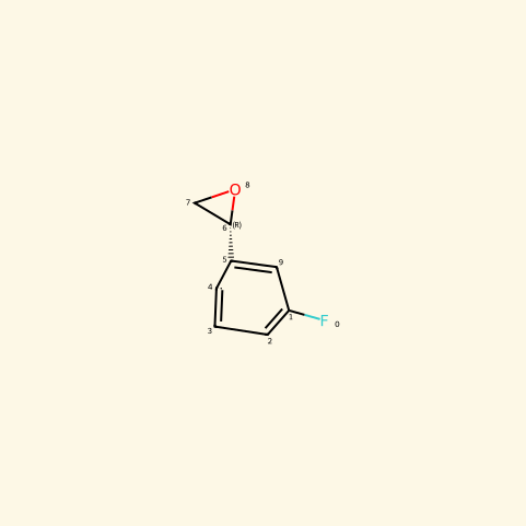 Fc1cc[c]c([C@@H]2CO2)c1